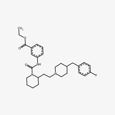 CCOC(=O)c1cccc(NC(=O)N2CCCCC2CCN2CCC(Cc3ccc(F)cc3)CC2)c1